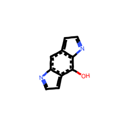 Oc1c2c(cc3c1=CC=N3)=CC=N2